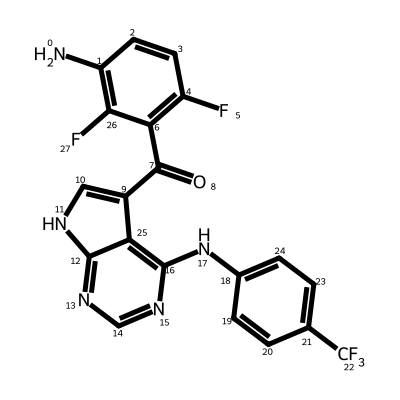 Nc1ccc(F)c(C(=O)c2c[nH]c3ncnc(Nc4ccc(C(F)(F)F)cc4)c23)c1F